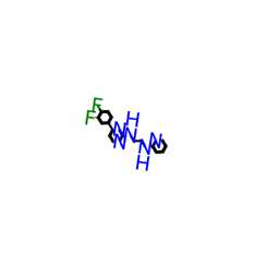 Fc1ccc(-c2ccnc(NCCNc3ccccn3)n2)cc1F